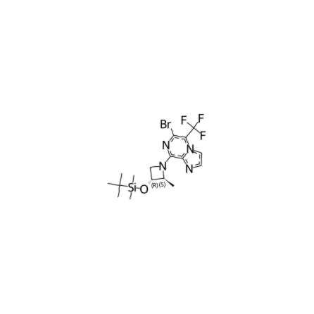 C[C@H]1[C@H](O[Si](C)(C)C(C)(C)C)CN1c1nc(Br)c(C(F)(F)F)n2ccnc12